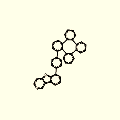 c1ccc2c(c1)-c1ccccc1-c1cccc(-c3ccc(-c4cccc5c4oc4ccncc45)cc3)c1-c1ccccc1-2